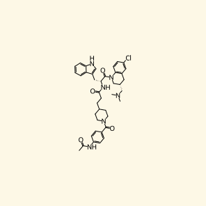 CC(=O)Nc1ccc(C(=O)N2CCC(CCC(=O)N[C@H](Cc3c[nH]c4ccccc34)C(=O)N3C[C@@H](CN(C)C)Cc4cc(Cl)ccc43)CC2)cc1